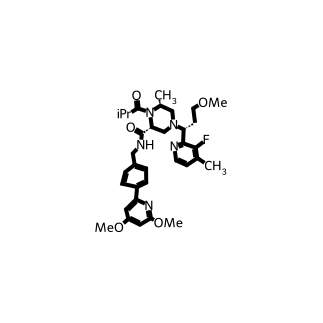 COCC[C@H](c1nccc(C)c1F)N1C[C@@H](C)N(C(=O)C(C)C)[C@@H](C(=O)NCc2ccc(-c3cc(OC)cc(OC)n3)cc2)C1